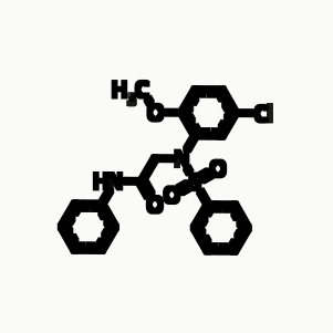 COc1ccc(Cl)cc1N(CC(=O)Nc1ccccc1)S(=O)(=O)c1ccccc1